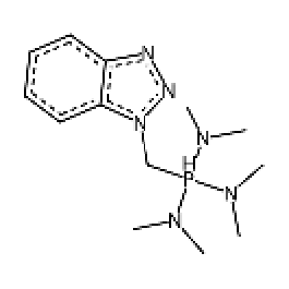 CN(C)[PH](Cn1nnc2ccccc21)(N(C)C)N(C)C